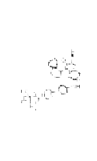 CC(C)(C)OC(=O)N1CCN(c2ccc(Nc3ncc4cc(C#N)c(=O)n(C5CCCc6ccccc65)c4n3)cc2)CC1